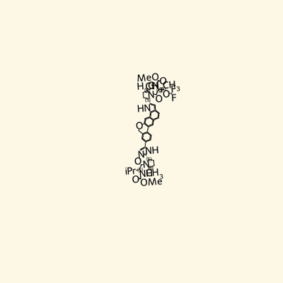 COC(=O)N[C@H](C(=O)N1[C@@H](C)CC[C@H]1c1ncc(-c2ccc3c(c2)COc2cc4c(ccc5cc([C@@H]6CC[C@H](C)N6C(=O)[C@H]([C@@H](C)OC(F)F)N(C)C(=O)OC)[nH]c54)cc2-3)[nH]1)C(C)C